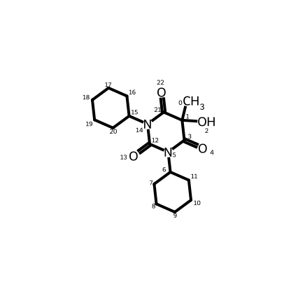 CC1(O)C(=O)N(C2CCCCC2)C(=O)N(C2CCCCC2)C1=O